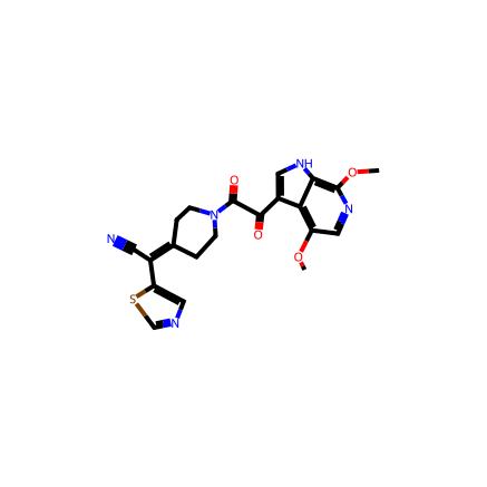 COc1ncc(OC)c2c(C(=O)C(=O)N3CCC(=C(C#N)c4cncs4)CC3)c[nH]c12